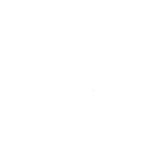 O=C(O)c1cc(C=Cc2ccccc2)cc(C(=O)O)n1